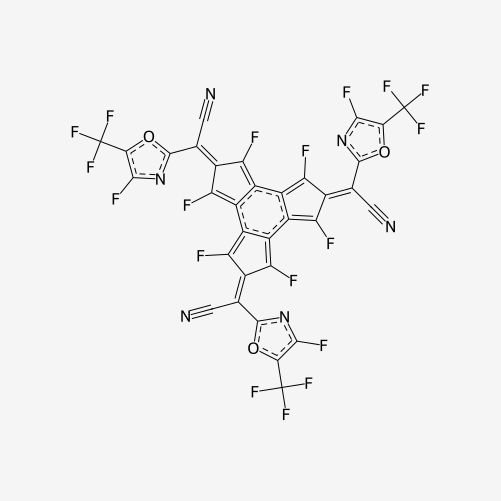 N#CC(=C1C(F)=c2c3c(c4c(c2=C1F)=C(F)C(=C(C#N)c1nc(F)c(C(F)(F)F)o1)C=4F)=C(F)C(=C(C#N)c1nc(F)c(C(F)(F)F)o1)C=3F)c1nc(F)c(C(F)(F)F)o1